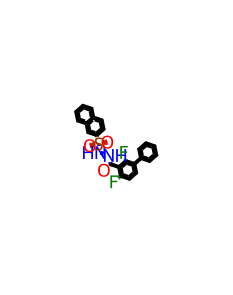 O=C(NNS(=O)(=O)c1ccc2ccccc2c1)c1c(F)ccc(-c2ccccc2)c1F